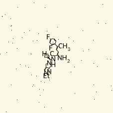 C=C(NC(=C1CCC1)N1Cc2cn(CC)nc2C1)/C(N)=C\C=C(/C)c1ccc(F)cc1F